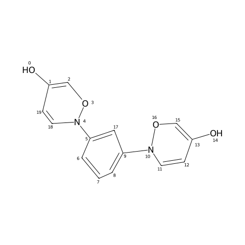 OC1=CON(c2cccc(N3C=CC(O)=CO3)c2)C=C1